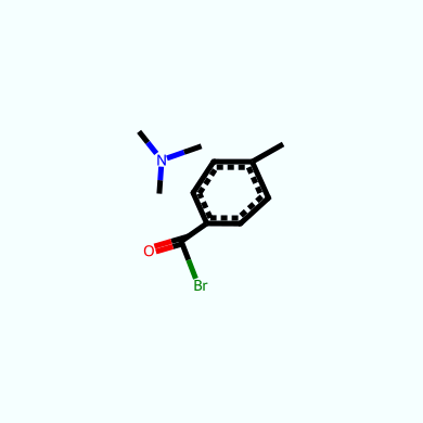 CN(C)C.Cc1ccc(C(=O)Br)cc1